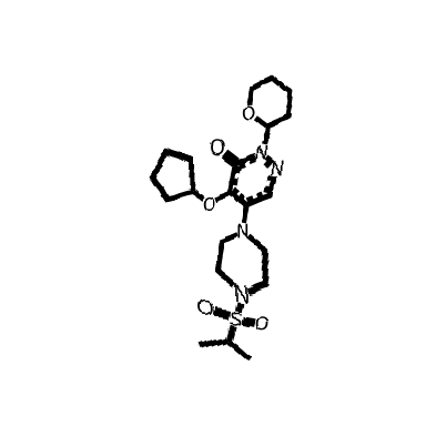 CC(C)S(=O)(=O)N1CCN(c2cnn(C3CCCCO3)c(=O)c2OC2CCCC2)CC1